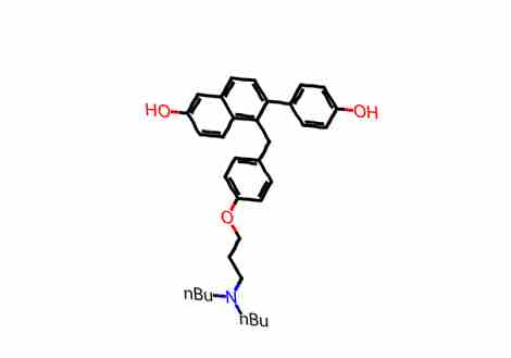 CCCCN(CCCC)CCCOc1ccc(Cc2c(-c3ccc(O)cc3)ccc3cc(O)ccc23)cc1